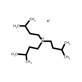 CC(C)CC[BH-](CCC(C)C)CCC(C)C.[K+]